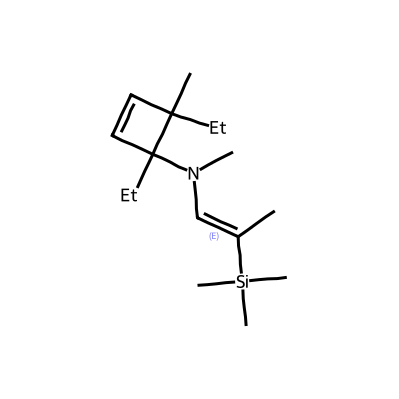 CCC1(C)C=CC1(CC)N(C)/C=C(\C)[Si](C)(C)C